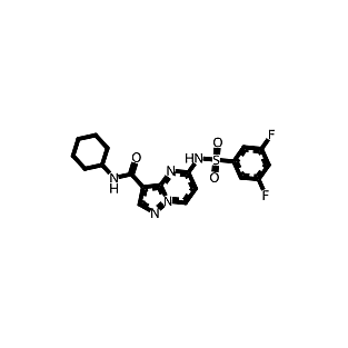 O=C(NC1CCCCC1)c1cnn2ccc(NS(=O)(=O)c3cc(F)cc(F)c3)nc12